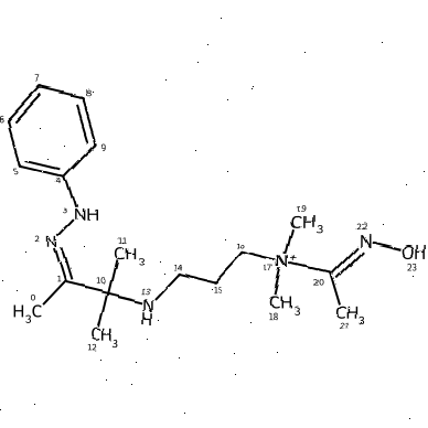 CC(=NNc1ccccc1)C(C)(C)NCCC[N+](C)(C)C(C)=NO